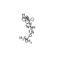 CN(C)CCOc1ccc(Nc2ncc3c(n2)N(C2CCCC2)C(=O)[C@]2(CCNC2=O)C3)cn1